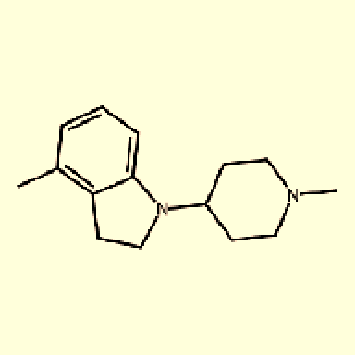 Cc1cccc2c1CCN2C1CCN(C)CC1